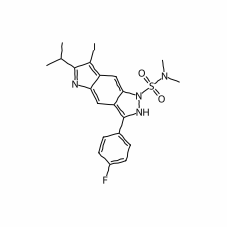 CC(C)c1nc2cc3c(-c4ccc(F)cc4)[nH]n(S(=O)(=O)N(C)C)c3cc2c1I